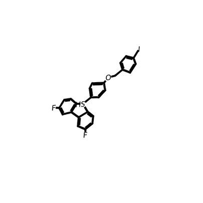 Fc1ccc2c(c1)-c1cc(F)ccc1[SH]2c1ccc(OCc2ccc(I)cc2)cc1